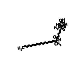 CCCCCCCCCCCCCCCCC(C)NC(=O)CCCC[C@@H]1SC[C@@H]2NC(=O)N[C@@]21N